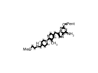 CCCC(C)Oc1nc(N)c2ncc(Cc3cnc(N4CCC(CNCCOC)CC4)c(C)c3)n2n1